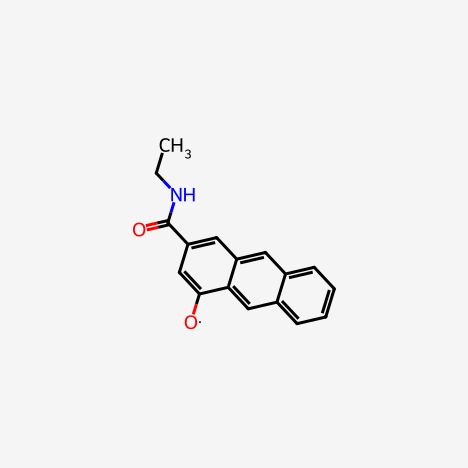 CCNC(=O)c1cc([O])c2cc3ccccc3cc2c1